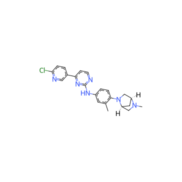 Cc1cc(Nc2nccc(-c3ccc(Cl)nc3)n2)ccc1N1C[C@@H]2C[C@H]1CN2C